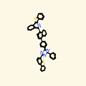 c1ccc(-c2nc(-c3ccc(-c4ccc(-c5nc6c7ccccc7sc6c6ccccc56)c5ccccc45)cc3)nc(-c3cccc4c3sc3ccccc34)n2)cc1